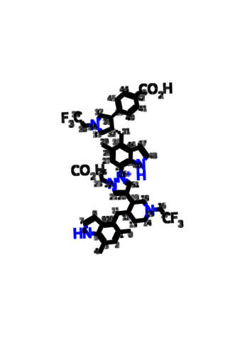 Cc1cc(C)c2[nH]ccc2c1CC1CCN(CC(F)(F)F)CC1c1cn(CC(=O)O)[n+](-c2cc(C)c(C[C@@H]3CN(CC(F)(F)F)C[C@H]3c3ccc(C(=O)O)cc3)c3cc[nH]c23)c1